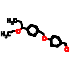 CCOC(CC)c1ccc(COc2ccc(C=O)cc2)cc1